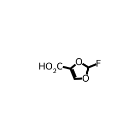 O=C(O)C1=COC(F)O1